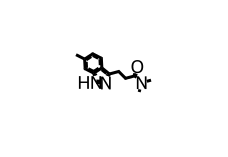 Cc1ccc2c(CCC(=O)N(C)C)n[nH]c2c1